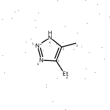 CCC1=C(C)N[N+]=N1